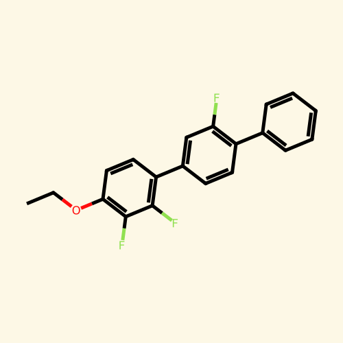 CCOc1ccc(-c2ccc(-c3ccccc3)c(F)c2)c(F)c1F